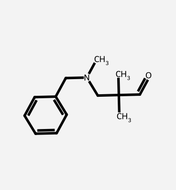 CN(Cc1ccccc1)CC(C)(C)C=O